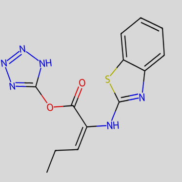 CCC=C(Nc1nc2ccccc2s1)C(=O)Oc1nnn[nH]1